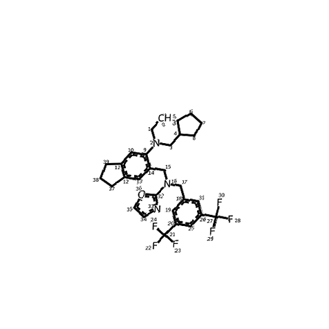 CCN(CC1CCCC1)c1cc2c(cc1CN(Cc1cc(C(F)(F)F)cc(C(F)(F)F)c1)c1ncco1)CCC2